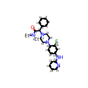 CCN(CC)C(=O)C(c1ccccc1)N1CCN(c2ccc(Nc3ccccn3)cc2F)CC1